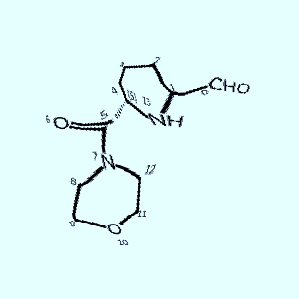 O=CC1CC[C@@H](C(=O)N2CCOCC2)N1